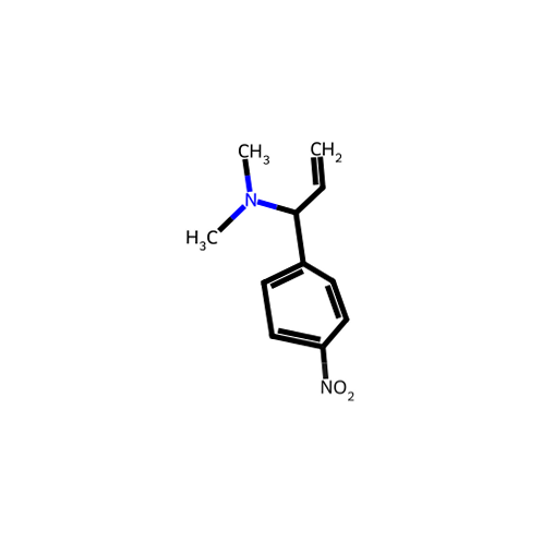 C=CC(c1ccc([N+](=O)[O-])cc1)N(C)C